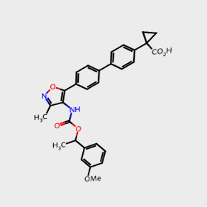 COc1cccc(C(C)OC(=O)Nc2c(C)noc2-c2ccc(-c3ccc(C4(C(=O)O)CC4)cc3)cc2)c1